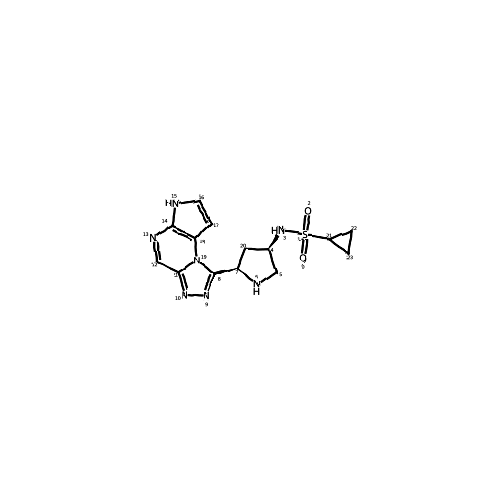 O=S(=O)(N[C@H]1CN[C@@H](c2nnc3cnc4[nH]ccc4n23)C1)C1CC1